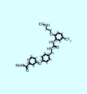 CCNCCOc1ccc(C(F)(F)F)cc1NC(=O)NCc1ccc(Oc2ccnc(C(=O)NC)c2)cc1